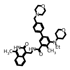 CCN(c1cc(-c2ccc(CN3CCOCC3)cc2)cc(C(=O)NCc2c(=O)[nH]c(C)c3ccccc23)c1C)C1CCOCC1